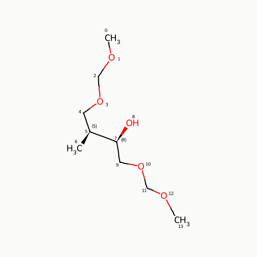 COCOC[C@H](C)[C@@H](O)COCOC